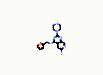 Clc1cc2c(NCc3ccco3)nc(N3CCNCC3)nc2cn1